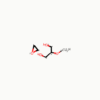 C1CO1.O=C(O)OC(CO)CO